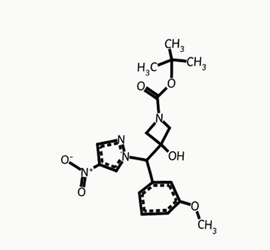 COc1cccc(C(n2cc([N+](=O)[O-])cn2)C2(O)CN(C(=O)OC(C)(C)C)C2)c1